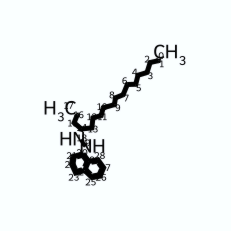 CCCCCCCCCCCCCCC(CCC)NNc1cccc2ccccc12